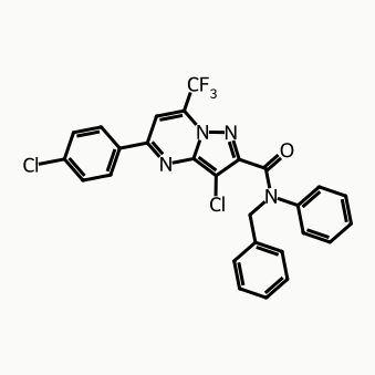 O=C(c1nn2c(C(F)(F)F)cc(-c3ccc(Cl)cc3)nc2c1Cl)N(Cc1ccccc1)c1ccccc1